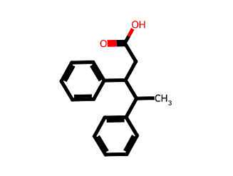 CC(c1ccccc1)C(CC(=O)O)c1ccccc1